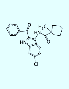 CC1(C(=O)Nc2c(C(=O)c3ccccc3)[nH]c3cc(Cl)ccc23)CCCCC1